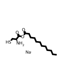 CCCCCCCCCCCC(=O)OC(=O)[C@@H](N)CS.[Na]